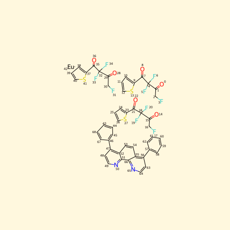 O=C(CF)C(F)(F)C(=O)c1cccs1.O=C(CF)C(F)(F)C(=O)c1cccs1.O=C(CF)C(F)(F)C(=O)c1cccs1.[Eu].c1ccc(-c2ccnc3c2ccc2c(-c4ccccc4)ccnc23)cc1